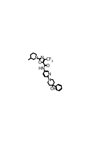 CC1CCCN(c2nc(C(F)(F)F)c(C(=O)Nc3ccc(N4CCC(O)(c5ccccc5)CC4)nc3)o2)C1